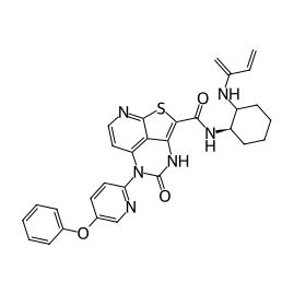 C=CC(=C)NC1CCCC[C@H]1NC(=O)c1sc2nccc3c2c1NC(=O)N3c1ccc(Oc2ccccc2)cn1